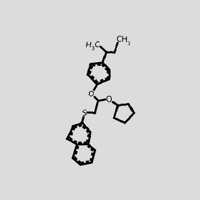 CCC(C)c1ccc(OC(CSc2ccc3ccccc3c2)OC2CCCC2)cc1